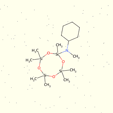 CN(C1CCCCC1)[Si]1(C)O[Si](C)(C)O[Si](C)(C)O[Si](C)(C)O1